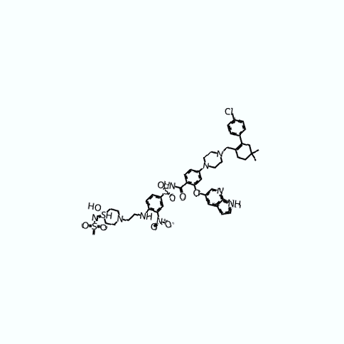 CC1(C)CCC(CN2CCN(c3ccc(C(=O)NS(=O)(=O)c4ccc(NCCN5CC[SH](O)(=NS(C)(=O)=O)CC5)c([N+](=O)[O-])c4)c(Oc4cnc5[nH]ccc5c4)c3)CC2)=C(c2ccc(Cl)cc2)C1